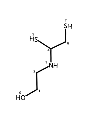 OCCNC(S)CS